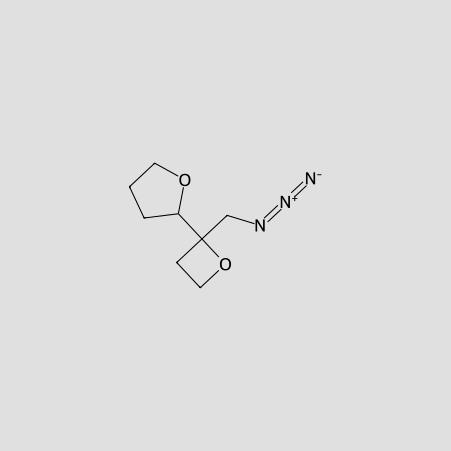 [N-]=[N+]=NCC1(C2CCCO2)CCO1